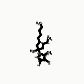 CCCCCCCC(C)(CCCC)n1nc(I)c(Br)c1C